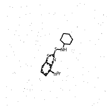 CCCc1cccc2sc(SNC3CCCCC3)nc12